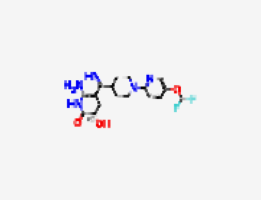 N=C(C1=C(N)NC(=O)[C@@H](O)C1)C1CCN(c2ccc(OC(F)F)cn2)CC1